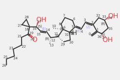 C=C1/C(=C\C=C2/CCC[C@]3(C)[C@@H]([C@H](C)/C=C/[C@H](O)C4(C(=O)CCCCCC)CC4)CC[C@@H]23)C[C@@H](O)C[C@@H]1O